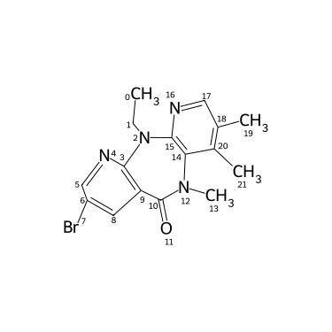 CCN1c2ncc(Br)cc2C(=O)N(C)c2c1ncc(C)c2C